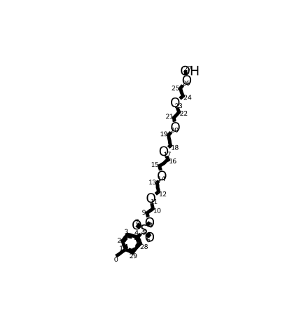 Cc1ccc(S(=O)(=O)OCCOCCOCCOCCOCCOCCOO)cc1